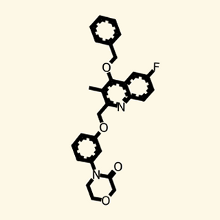 Cc1c(COc2cccc(N3CCOCC3=O)c2)nc2ccc(F)cc2c1OCc1ccccc1